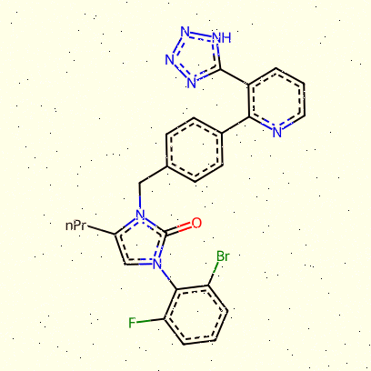 CCCc1cn(-c2c(F)cccc2Br)c(=O)n1Cc1ccc(-c2ncccc2-c2nnn[nH]2)cc1